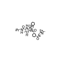 Cc1csc(CN(C)C(=O)c2cccc(C(=O)N[C@@H](Cc3ccccc3)[C@H](O)CNC(C(=O)NCC(C)C)C(C)O)c2)n1